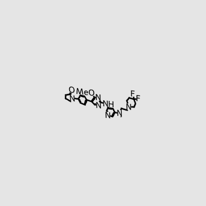 COc1nc(Nc2cncc(N(C)CCN3CCC(F)(F)CC3)c2)ncc1-c1ccc(N2CCCC2=O)cc1